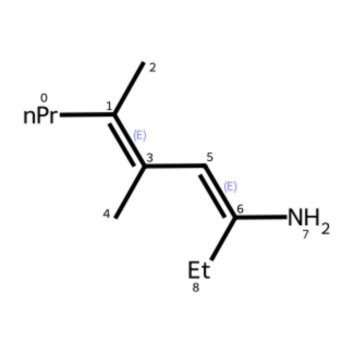 CCC/C(C)=C(C)/C=C(/N)CC